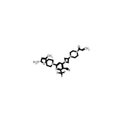 C=CC(=O)N1CCN(C2CN(c3cc(N4CCC5(CC4)O[C@H](C)C=C5C)nc(C(F)(F)F)c3C#N)C2)CC1